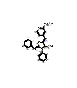 COc1cc(/C=C2\S/C(=N\c3ccccc3)N(c3ccccc3)C2O)ccn1